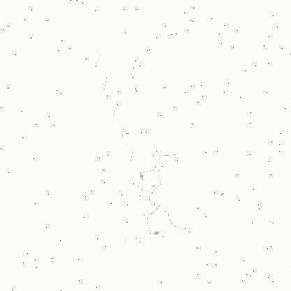 CCCCCCCCCCCc1nc(-c2nc(N)nc(N)n2)cn1CC